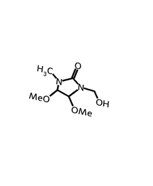 COC1C(OC)N(CO)C(=O)N1C